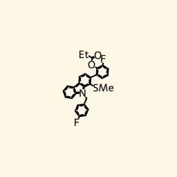 CCC(=O)Oc1c(F)cccc1-c1ccc2c3ccccc3n(Cc3ccc(F)cc3)c2c1SC